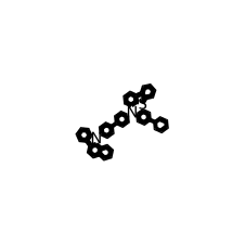 C1=CCC(c2ccc(N(c3ccc(-c4ccc(-n5c6ccccc6c6ccc7ccccc7c65)cc4)cc3)c3cccc4c3sc3ccccc34)cc2)C=C1